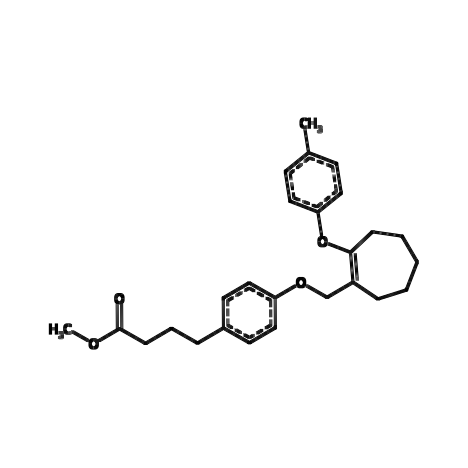 COC(=O)CCCc1ccc(OCC2=C(Oc3ccc(C)cc3)CCCCC2)cc1